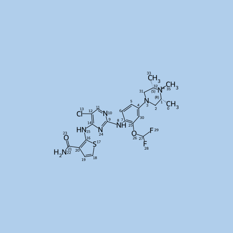 C[C@@H]1CN(c2ccc(Nc3ncc(Cl)c(Nc4sccc4C(N)=O)n3)c(OC(F)F)c2)C[C@H](C)N1C